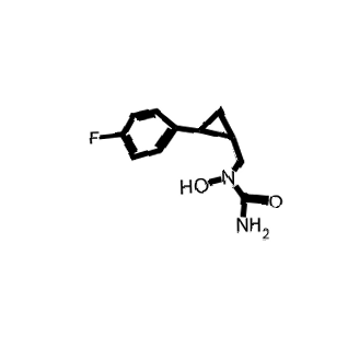 NC(=O)N(O)CC1CC1c1ccc(F)cc1